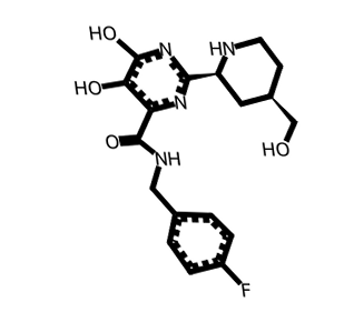 O=C(NCc1ccc(F)cc1)c1nc([C@@H]2C[C@H](CO)CCN2)nc(O)c1O